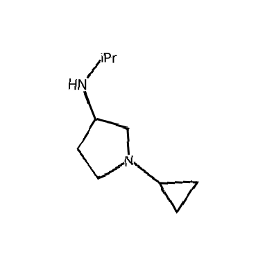 CC(C)NC1CCN(C2CC2)C1